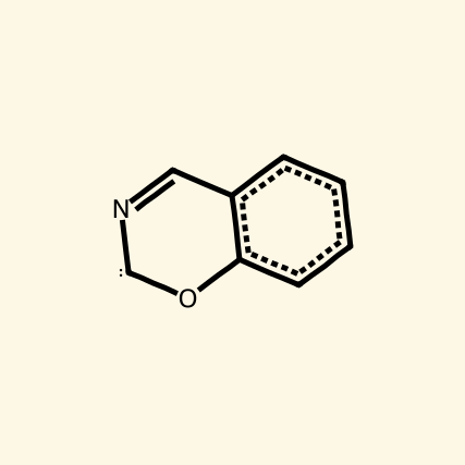 [C]1N=Cc2ccccc2O1